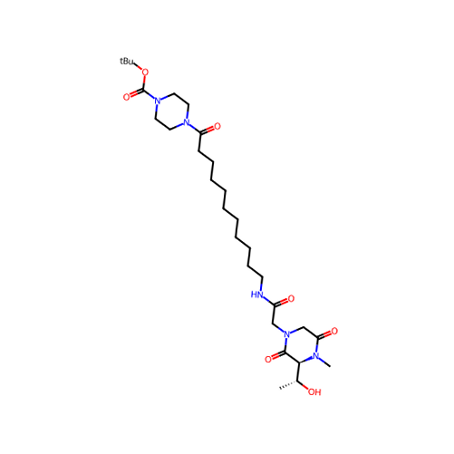 C[C@@H](O)[C@H]1C(=O)N(CC(=O)NCCCCCCCCCCC(=O)N2CCN(C(=O)OC(C)(C)C)CC2)CC(=O)N1C